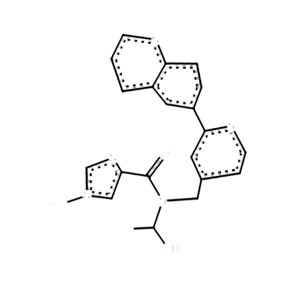 CC(C)N(Cc1ccnc(-c2ccc3ncccc3c2)c1)C(=O)c1cn(C)cn1